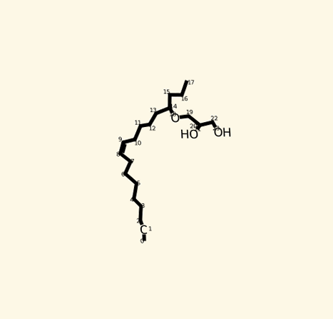 CCCCCCCC/C=C\CCCCC(CCC)OCC(O)CO